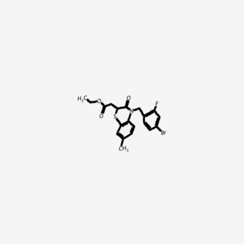 CCOC(=O)CC1Sc2cc(C)ccc2N(Cc2ccc(Br)cc2F)C1=O